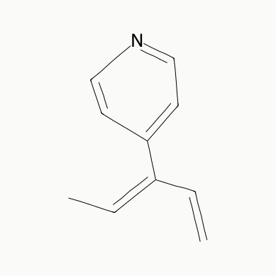 C=C/C(=C/C)c1ccncc1